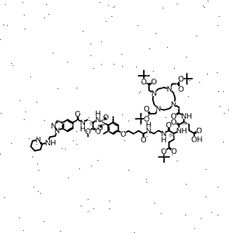 COC(=O)[C@H](CNC(=O)c1ccc2c(cnn2CCNC2=NCCCC2)c1)NS(=O)(=O)c1c(C)cc(OCCCC(=O)NCCNC(=O)[C@H](CCC(=O)OC(C)(C)C)NC(=O)[C@H](CCC(=O)O)NC(=O)CN2CCN(CC(=O)OC(C)(C)C)CCN(CC(=O)OC(C)(C)C)CCN(CC(=O)OC(C)(C)C)CC2)cc1C